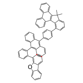 CC1(C)c2cccc(-c3ccc(-c4c5ccccc5c(-c5ccccc5-c5cccc6c5oc5ccccc56)c5ccccc45)cc3)c2-c2c1c1ccccc1c1ccccc21